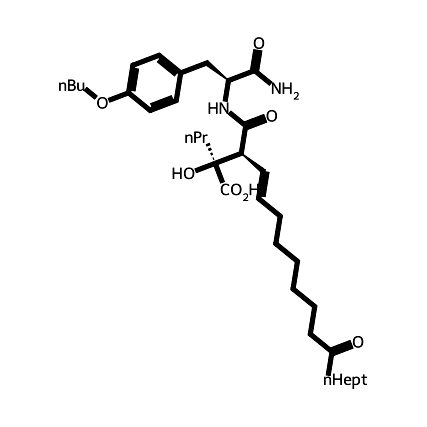 CCCCCCCC(=O)CCCCCCC=C[C@H](C(=O)N[C@@H](Cc1ccc(OCCCC)cc1)C(N)=O)[C@@](O)(CCC)C(=O)O